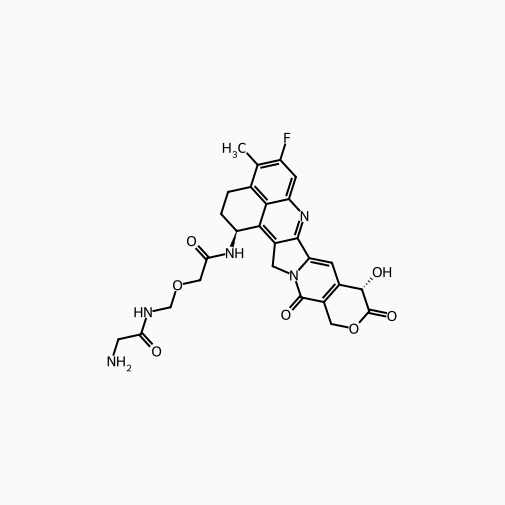 Cc1c(F)cc2nc3c(c4c2c1CC[C@@H]4NC(=O)COCNC(=O)CN)Cn1c-3cc2c(c1=O)COC(=O)[C@H]2O